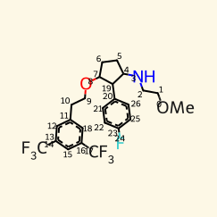 COCCNC1CCC(OCCc2cc(C(F)(F)F)cc(C(F)(F)F)c2)C1c1ccc(F)cc1